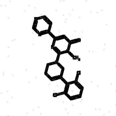 Cn1c(N2CCC=C(c3c(Cl)cccc3Cl)C2)nc(-c2ccncn2)cc1=O